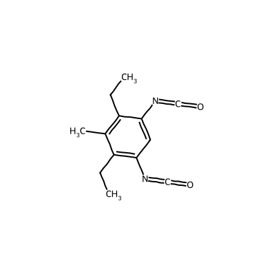 CCc1c(N=C=O)cc(N=C=O)c(CC)c1C